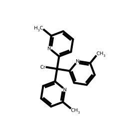 Cc1cccc([C]([Cr])(c2cccc(C)n2)c2cccc(C)n2)n1